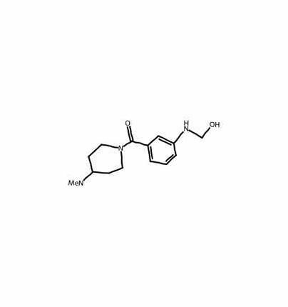 CNC1CCN(C(=O)c2cccc(NCO)c2)CC1